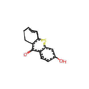 O=c1c2c(sc3cc(O)ccc13)C=CCC2